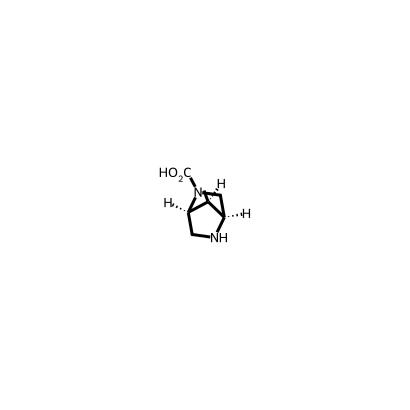 C[C@@H]1[C@H]2CN[C@@H]1CN2C(=O)O